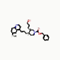 COc1ccc2nccc(CCC[C@@H]3CCN(C(=O)OCc4ccccc4)C[C@@H]3CCCO)c2c1